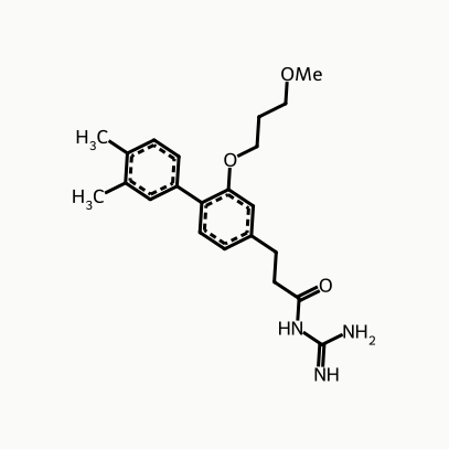 COCCCOc1cc(CCC(=O)NC(=N)N)ccc1-c1ccc(C)c(C)c1